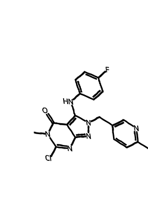 Cc1ccc(Cn2nc3nc(Cl)n(C)c(=O)c3c2Nc2ccc(F)cc2)cn1